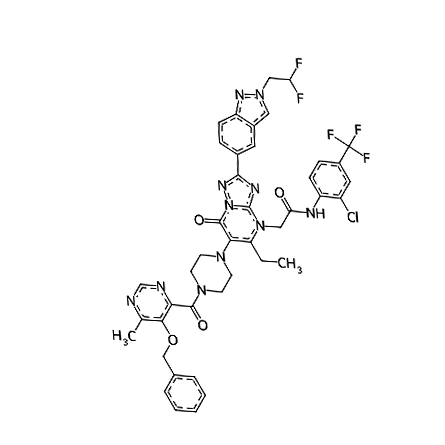 CCc1c(N2CCN(C(=O)c3ncnc(C)c3OCc3ccccc3)CC2)c(=O)n2nc(-c3ccc4nn(CC(F)F)cc4c3)nc2n1CC(=O)Nc1ccc(C(F)(F)F)cc1Cl